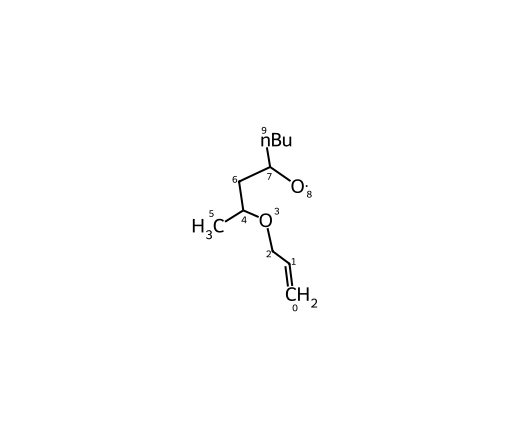 C=CCOC(C)CC([O])CCCC